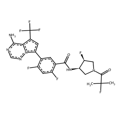 CC(C)(F)C(=O)N1C[C@H](F)[C@H](NC(=O)c2cc(-c3cc(C(F)(F)F)c4c(N)ncnn34)c(F)cc2F)C1